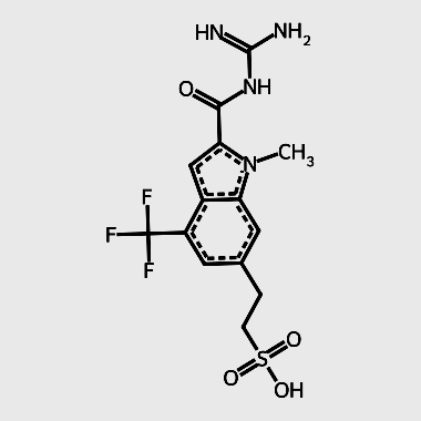 Cn1c(C(=O)NC(=N)N)cc2c(C(F)(F)F)cc(CCS(=O)(=O)O)cc21